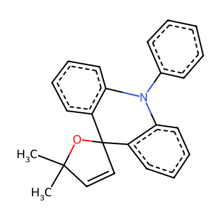 CC1(C)C=CC2(O1)c1ccccc1N(c1ccccc1)c1ccccc12